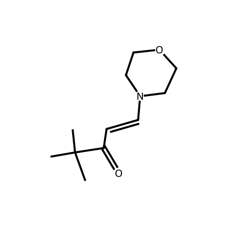 CC(C)(C)C(=O)/C=C/N1CCOCC1